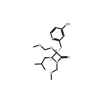 COCO[C@@]1(Cc2cc(O)ccn2)C(=O)N(COC)[C@H]1CC(C)C